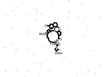 CO[C@H]1/C=C/C[C@H](C)C[S@@](=O)(NC(=O)N2C[C@H](OC)[C@H]2C)=NC(=O)c2ccc3c(c2)N(C[C@@H]2CC[C@H]21)C[C@@]1(CCCc2cc(Cl)ccc21)CO3